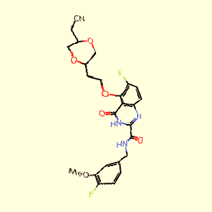 COc1cc(CNC(=O)c2nc3ccc(F)c(OCCC4COC(CC#N)CO4)c3c(=O)[nH]2)ccc1F